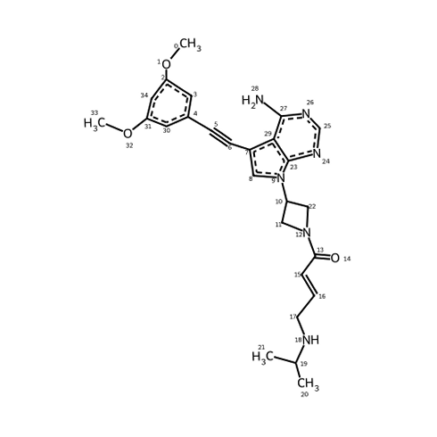 COc1cc(C#Cc2cn(C3CN(C(=O)/C=C/CNC(C)C)C3)c3ncnc(N)c23)cc(OC)c1